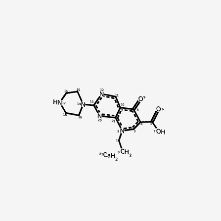 CCn1cc(C(=O)O)c(=O)c2cnc(N3CCNCC3)nc21.[CaH2]